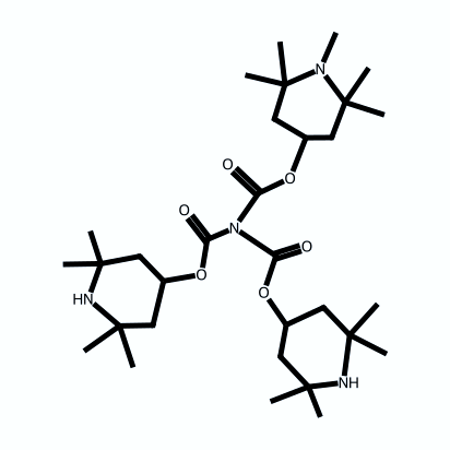 CN1C(C)(C)CC(OC(=O)N(C(=O)OC2CC(C)(C)NC(C)(C)C2)C(=O)OC2CC(C)(C)NC(C)(C)C2)CC1(C)C